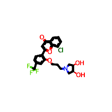 O=c1cc(-c2ccc(C(F)(F)F)cc2OCCCN2C[C@@H](O)[C@@H](O)C2)oc2c(Cl)cccc12